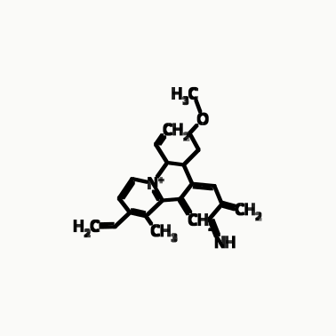 C=Cc1cc[n+]2c(c1C)C(=C)/C(=C\C(=C)C=N)C(CCOC)C2C=C